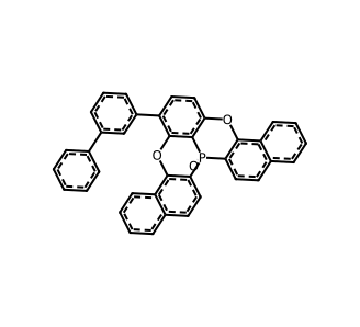 O=P12c3ccc4ccccc4c3Oc3ccc(-c4cccc(-c5ccccc5)c4)c(c31)Oc1c2ccc2ccccc12